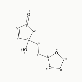 O=C1C=CC(O)(CCC2OCCO2)C1